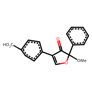 COC1(c2ccccc2)OC=C(c2ccc(C(=O)O)cc2)C1=O